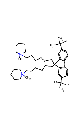 CCC(C)(C)c1ccc2c(c1)C(CCCCCC[N+]1(C)CCCCC1)(CCCCCC[N+]1(C)CCCCC1)c1cc(C(C)(CC)CC)ccc1-2